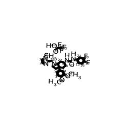 COc1ccc(C23CCC(NC(=O)Nc4ccc(F)c(F)c4)CC2N(Cc2nccn2C)CC3)cc1OC.O=C(O)C(F)(F)F